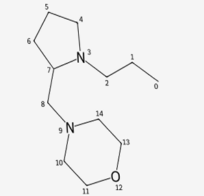 CCCN1CCCC1CN1CCOCC1